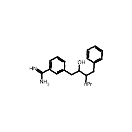 CCC[C](Cc1ccccc1)C(O)Cc1cccc(C(=N)N)c1